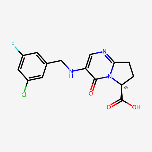 O=C(O)[C@@H]1CCc2ncc(NCc3cc(F)cc(Cl)c3)c(=O)n21